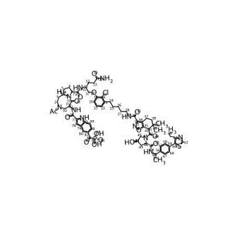 CC(=O)N1CC[C@H]2CC[C@@H](C(=O)N[C@@H](CCC(N)=O)COc3cccc(CCCCCNC(=O)c4noc5c4CCC(C)(C)[C@H]5C(=O)N4C[C@H](O)C[C@H]4C(=O)N[C@@H](C)c4ccc(-c5scnc5C)cc4)c3Cl)N2C(=O)[C@@H](NC(=O)c2cc3cc(C(=O)P(=O)(O)O)ccc3[nH]2)C1